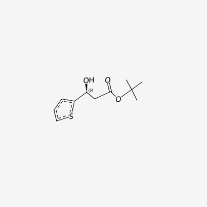 CC(C)(C)OC(=O)C[C@H](O)c1cccs1